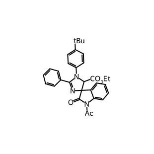 CCOC(=O)C1N(c2ccc(C(C)(C)C)cc2)C(c2ccccc2)=NC12C(=O)N(C(C)=O)c1ccccc12